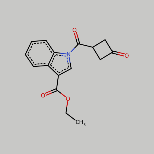 CCOC(=O)c1cn(C(=O)C2CC(=O)C2)c2ccccc12